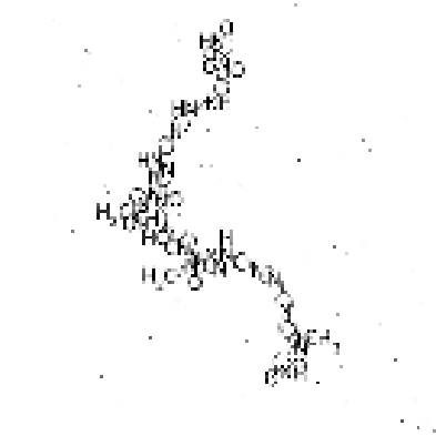 C=CCn1c(=O)c2cnc(Nc3ccc(N4CCN(CC5CCN(c6ccc7c(C8CCC(=O)NC8=O)nn(C)c7c6)CC5)CC4)cc3)nc2n1-c1cccc(C(C)(O)C/C=C/Cn2c(=O)c3cnc(Nc4ccc(N5CCC(NCCNc6ccc7c(c6)C(=O)N(C6CCC(=O)NC6=O)C7=O)CC5)cc4)nc3n2-c2cccc(C(C)(C)O)n2)n1